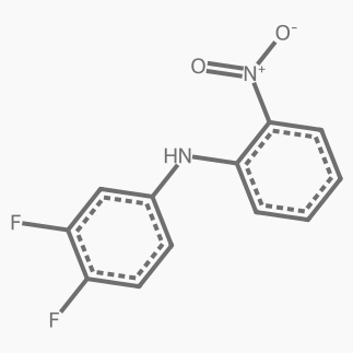 O=[N+]([O-])c1ccccc1Nc1ccc(F)c(F)c1